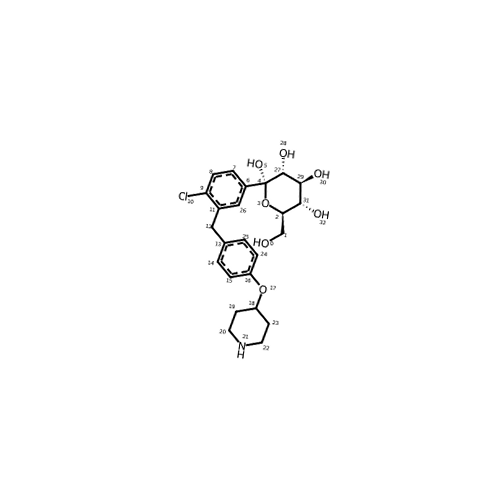 OC[C@H]1O[C@@](O)(c2ccc(Cl)c(Cc3ccc(OC4CCNCC4)cc3)c2)[C@H](O)[C@@H](O)[C@@H]1O